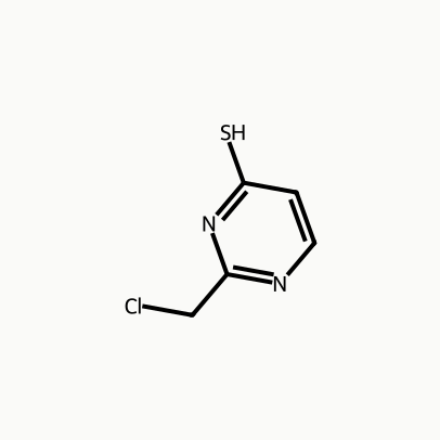 Sc1ccnc(CCl)n1